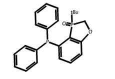 CC(C)(C)P1(=O)COc2cccc(P(c3ccccc3)c3ccccc3)c21